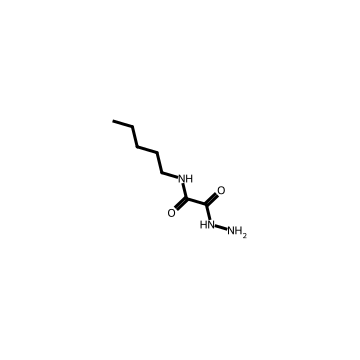 CCCCCNC(=O)C(=O)NN